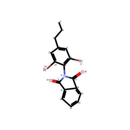 CCCc1cc(Br)c(N2C(=O)c3ccccc3C2=O)c(Br)c1